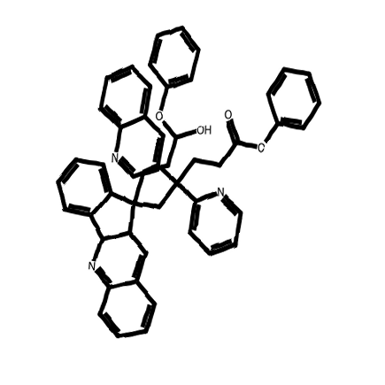 O=C(CCC(CC1(CCC(O)Oc2ccccc2)c2ccccc2C2N=c3ccccc3=CC21)(c1cnc2ccccc2c1)c1ccccn1)Oc1ccccc1